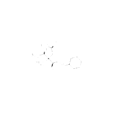 CC(CC(=O)O)(C(=O)O)C(=O)OOC1CCCCC1